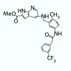 COC(=O)c1cc2cc(NCc3cc(NC(=O)Cc4cccc(C(F)(F)F)c4)ccc3C)cnc2[nH]1